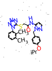 Cc1cccc(-n2nnnc2SCC(=O)Nc2ccnn2Cc2ccc(OC(C)C)cc2)c1C